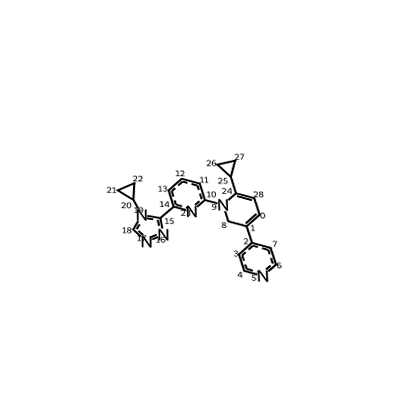 C1=C(c2ccncc2)CN(c2cccc(-c3nncn3C3CC3)n2)C(C2CC2)=C1